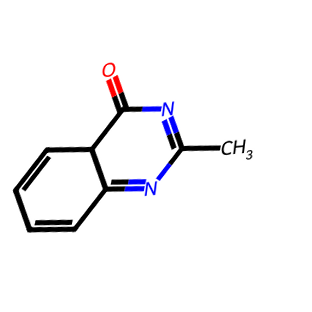 CC1=NC(=O)C2C=CC=CC2=N1